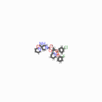 NC(=O)C1(N2CCCCC2)CCN(C(=O)OC2([C@H]3CCC[C@@H](c4cccc(F)c4)N3S(=O)(=O)c3ccc(Cl)cc3)CC2)CC1